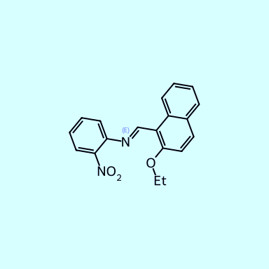 CCOc1ccc2ccccc2c1/C=N/c1ccccc1[N+](=O)[O-]